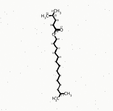 CC(C)CCCCCCCCCCCCOC(=O)CCC(C)C